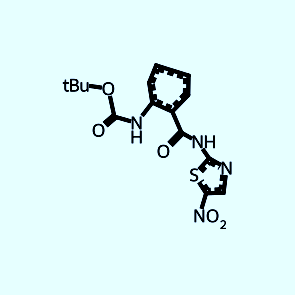 CC(C)(C)OC(=O)Nc1ccccc1C(=O)Nc1ncc([N+](=O)[O-])s1